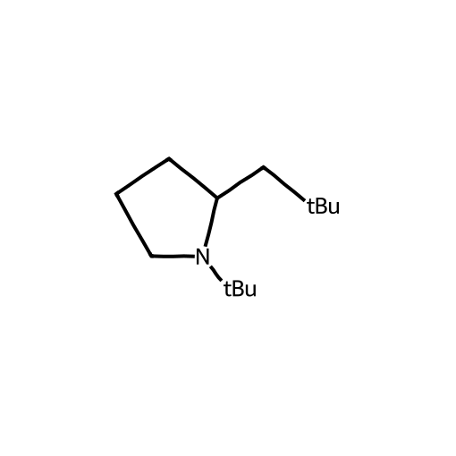 CC(C)(C)CC1CCCN1C(C)(C)C